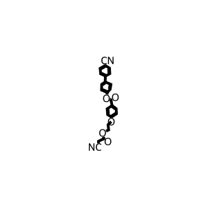 [C-]#[N+]CC(=O)OCCOc1ccc(C(=O)Oc2ccc(-c3ccc(C#N)cc3)cc2)cc1